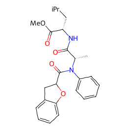 COC(=O)[C@H](CC(C)C)NC(=O)[C@H](C)N(C(=O)C1Cc2ccccc2O1)c1ccccc1